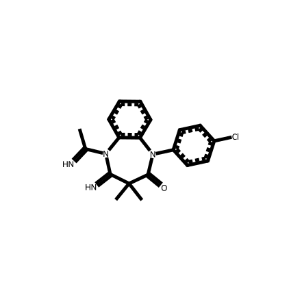 CC(=N)N1C(=N)C(C)(C)C(=O)N(c2ccc(Cl)cc2)c2ccccc21